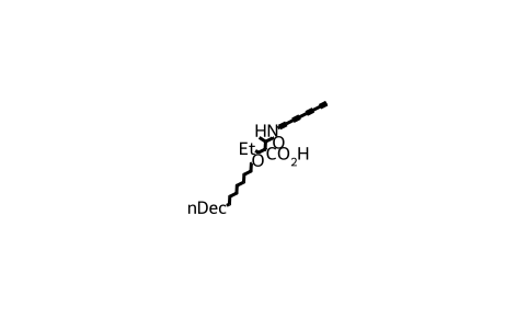 C#CC#CC#CC#CNC(=O)C(C)C(C(=O)O)C(CC)OCCCCCCCCCCCCCCCCCC